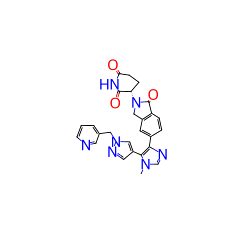 Cn1cnc(-c2ccc3c(c2)CN([C@H]2CCC(=O)NC2=O)C3=O)c1-c1cnn(Cc2cccnc2)c1